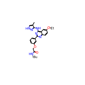 CCOc1ccc2nc(-c3cccc(OCC(=O)NC(C)(C)C)c3)nc(Nc3n[nH]cc3C)c2c1